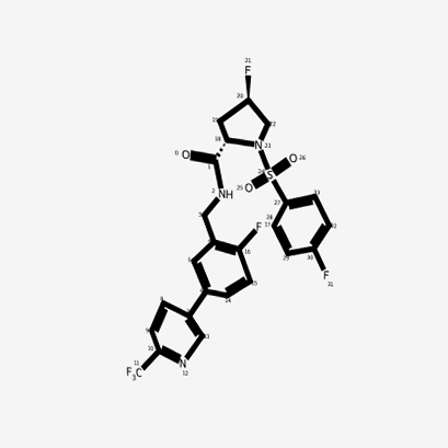 O=C(NCc1cc(-c2ccc(C(F)(F)F)nc2)ccc1F)[C@@H]1C[C@@H](F)CN1S(=O)(=O)c1ccc(F)cc1